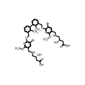 COc1nc(OCc2cccc(-c3cccc(COc4nc(OC)c(CNC[C@H](O)CC(=O)O)cc4Br)c3C)c2C)c(Br)cc1CNC[C@H](O)CC(=O)O